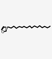 CCCCCCCCCCCCCCCCCN1C=COC1